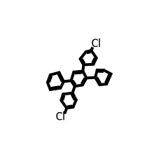 Clc1ccc(-c2cc(-c3ccccc3)c(-c3ccc(Cl)cc3)cc2-c2ccccc2)cc1